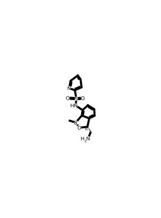 CB1O[C@@H](CN)c2cccc(NS(=O)(=O)c3ccccn3)c21